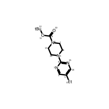 CCc1cnc(N2CCN(C(=O)OC(C)(C)C)CC2)nc1